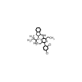 CCc1nc(-c2ccc(Cl)cc2Cl)c(CC)nc1NC1c2ccccc2CC1OC(=O)N(C)C